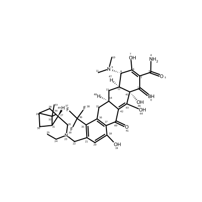 B=C1C(C(N)=O)=C(O)[C@@H](N(C)C)[C@@H]2C[C@@H]3Cc4c(c(O)cc(CN(CC)C[C@H]5CC6CC5C6(C)C)c4C(F)(F)F)C(=O)C3=C(O)[C@]12O